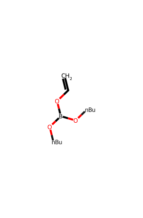 C=COB(OCCCC)OCCCC